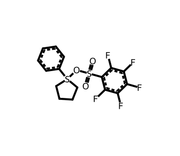 O=S(=O)(OS1(c2ccccc2)CCCC1)c1c(F)c(F)c(F)c(F)c1F